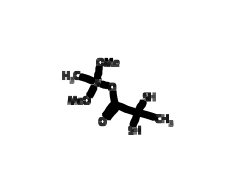 CO[Si](C)(OC)OC(=O)C(C)(S)S